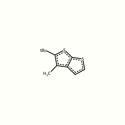 Cc1c(C(C)(C)C)sc2sccc12